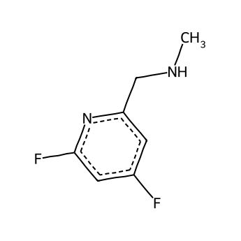 CNCc1cc(F)cc(F)n1